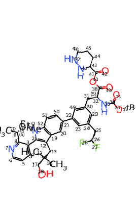 CCn1c(-c2cccnc2[C@H](C)OC)c(CC(C)(C)CO)c2cc(-c3cc(CC(F)F)cc(C[C@H](NC(=O)OC(C)(C)C)C(=O)OC(=O)C4CCCNN4)c3)ccc21